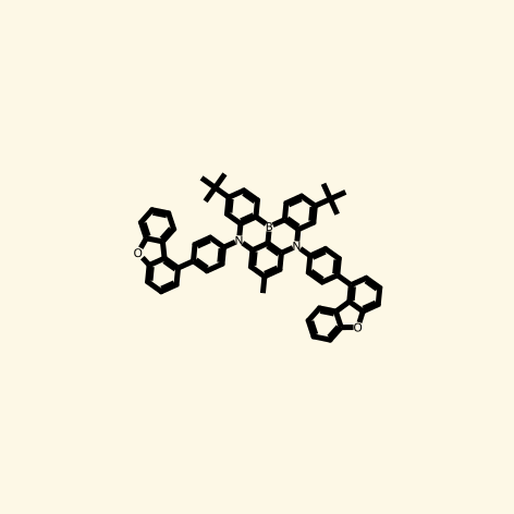 Cc1cc2c3c(c1)N(c1ccc(-c4cccc5oc6ccccc6c45)cc1)c1cc(C(C)(C)C)ccc1B3c1ccc(C(C)(C)C)cc1N2c1ccc(-c2cccc3oc4ccccc4c23)cc1